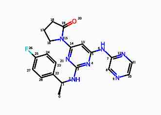 C[C@H](Nc1nc(Nc2cnccn2)cc(N2CCCC2=O)n1)c1ccc(F)cc1